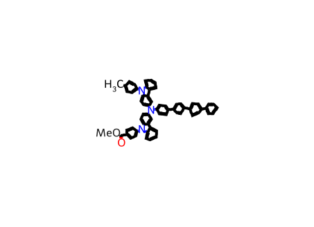 COC(=O)c1ccc(-n2c3ccccc3c3cc(N(c4ccc(-c5ccc(-c6ccc(-c7ccccc7)cc6)cc5)cc4)c4ccc5c(c4)c4ccccc4n5-c4ccc(C)cc4)ccc32)cc1